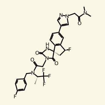 C[C@H](N(Cc1ccc(F)cc1)C(=O)CN1C(=O)N[C@]2(C[C@H](F)c3cc(-c4cnn(CC(=O)N(C)C)c4)ccc32)C1=O)C(F)(F)F